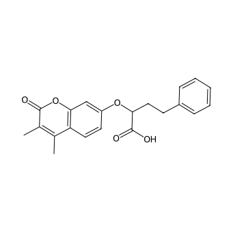 Cc1c(C)c2ccc(OC(CCc3ccccc3)C(=O)O)cc2oc1=O